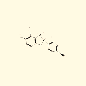 CC1(c2ccc(C#N)cc2)Cc2cc(O)c(Cl)c(Cl)c2C1=O